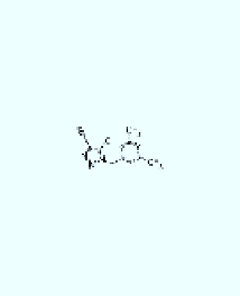 C#Cc1nnn(Cc2cc(C(F)(F)F)cc(C(F)(F)F)c2)c1Cl